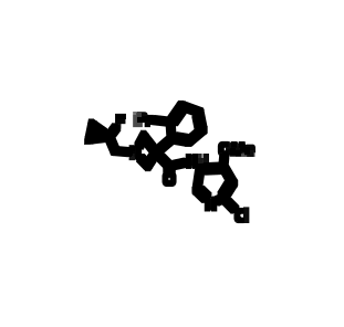 COc1cc(Cl)ncc1NC(=O)C1(c2ccccc2C(C)C)CN(CC2(F)CC2)C1